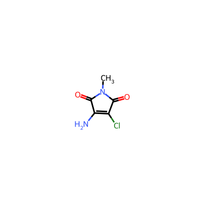 CN1C(=O)C(N)=C(Cl)C1=O